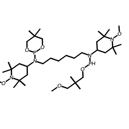 COCC(C)(C)COPN(CCCCCCN(C1CC(C)(C)N(OC)C(C)(C)C1)P1OCC(C)(C)CO1)C1CC(C)(C)N(OC)C(C)(C)C1